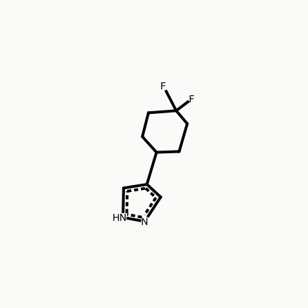 FC1(F)CCC(c2cn[nH]c2)CC1